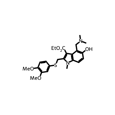 CCOC(=O)c1c(CSc2ccc(OC)c(OC)c2)n(C)c2ccc(O)c(CN(C)C)c12